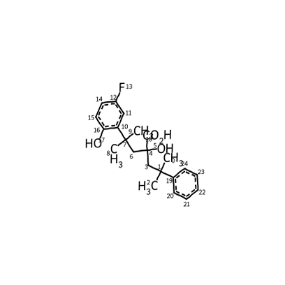 CC(C)(CC(O)(CC(C)(C)c1cc(F)ccc1O)C(=O)O)c1ccccc1